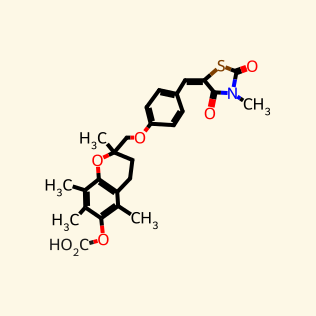 Cc1c(C)c2c(c(C)c1OC(=O)O)CCC(C)(COc1ccc(C=C3SC(=O)N(C)C3=O)cc1)O2